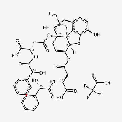 CN1CC[C@]23c4c5ccc(O)c4O[C@H]2C(OC(=O)C[C@H](NC(=O)[C@@H](O)c2ccccc2)C(=O)O)=CC[C@@]3(OC(=O)C[C@H](NC(=O)[C@@H](O)c2ccccc2)C(=O)O)[C@H]1C5.O=C(O)C(F)(F)F